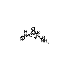 NC(=O)CCN(C(=O)c1cc(Cl)cc(OCCNc2ccncc2)c1)C1CC1